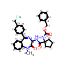 CN1C(=O)C(NC(=O)C2(NC(=O)OCc3ccccc3)CCCC2)N=C(c2ccc(CF)cc2)c2ccccc21